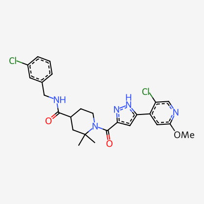 COc1cc(-c2cc(C(=O)N3CCC(C(=O)NCc4cccc(Cl)c4)CC3(C)C)n[nH]2)c(Cl)cn1